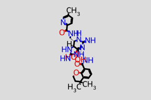 Cc1ccc(C(=O)NC[C@@H]2NC(=N)N3C[C@H](NC(=O)c4cccc5c4OCCC5(C)C)C(O)(O)[C@@]34NC(=N)N[C@@H]24)nc1